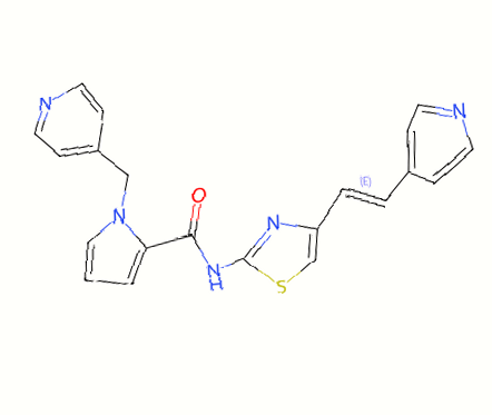 O=C(Nc1nc(/C=C/c2ccncc2)cs1)c1cccn1Cc1ccncc1